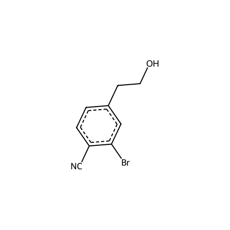 N#Cc1ccc(CCO)cc1Br